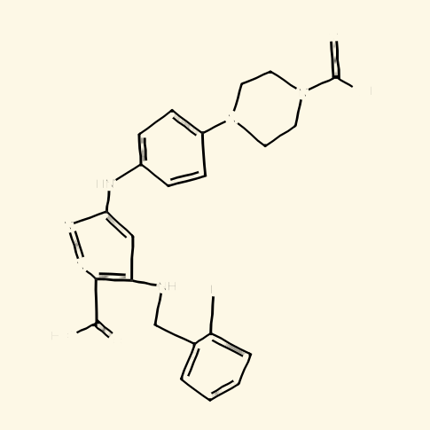 CC(=O)c1nnc(Nc2ccc(N3CCN(C(C)=O)CC3)cc2)cc1NCc1ccccc1F